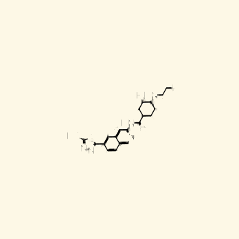 Cc1nnc(-c2ccc3cnc(NC(=O)C4CC[C@H](NCCF)[C@@H](F)C4)cc3c2)s1